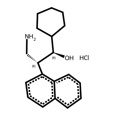 Cl.NC[C@@H](c1cccc2ccccc12)[C@H](O)C1CCCCC1